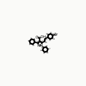 O=C(O)c1c(-c2ccccc2)nn(-c2ccccc2)c1C=Cc1ccc(Br)cc1